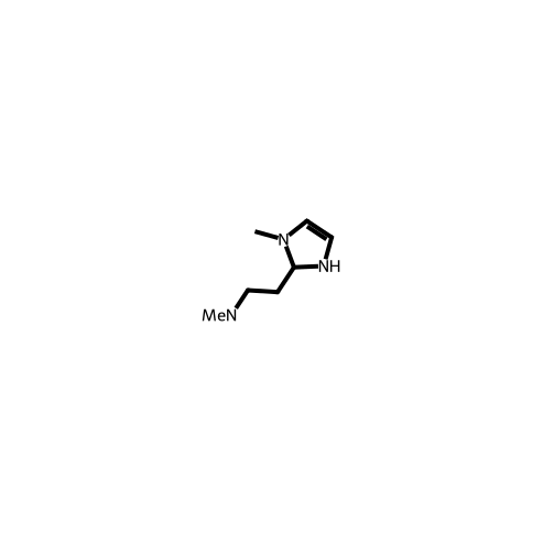 CNCCC1NC=CN1C